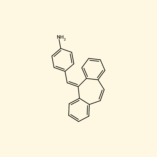 Nc1ccc(C=C2c3ccccc3C=Cc3ccccc32)cc1